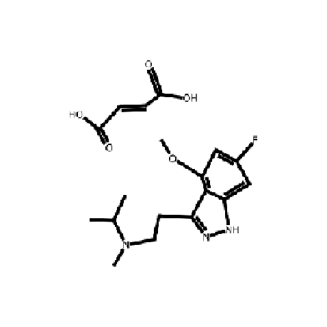 COc1cc(F)cc2[nH]nc(CCN(C)C(C)C)c12.O=C(O)/C=C/C(=O)O